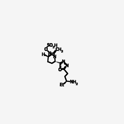 C=C1N2C[C@H](CC[C@H]2c2nnc(CC[C@@H](N)CC)o2)N1OS(=O)(=O)O